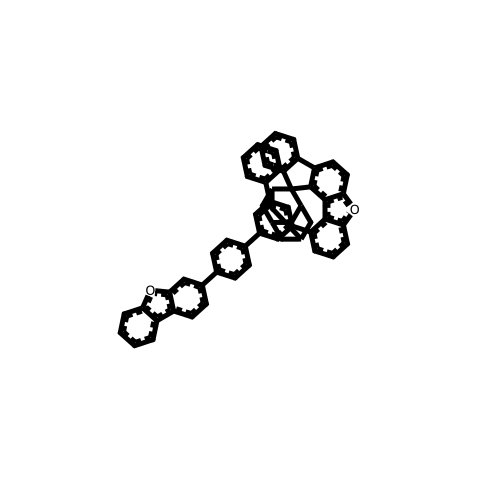 c1ccc(-c2cc(-c3ccc(-c4ccc5c(c4)oc4ccccc45)cc3)cc(-c3cccc4oc5ccc6c(c5c34)C3(c4ccccc4-6)C4CC5CC(C4)CC3C5)c2)cc1